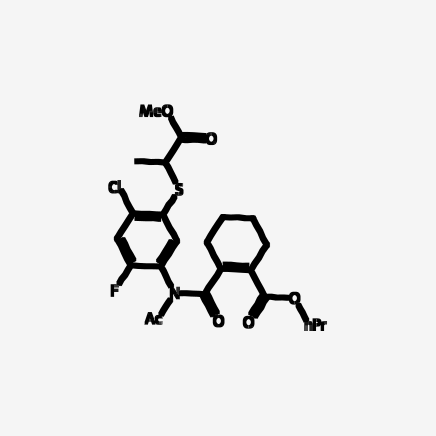 CCCOC(=O)C1=C(C(=O)N(C(C)=O)c2cc(SC(C)C(=O)OC)c(Cl)cc2F)CCCC1